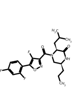 CCC[C@H]1CN(C(=O)c2noc(-c3ccc(F)cc3F)c2F)[C@@H](CC(C)C)C(=O)N1